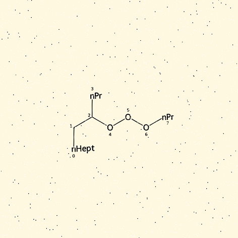 CCCCCCCCC(CCC)OOOCCC